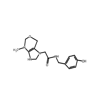 CN1COCC2=C1NCN2CC(=O)NCc1ccc(O)cc1